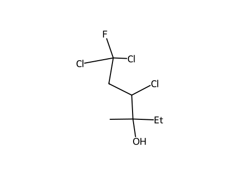 CCC(C)(O)C(Cl)CC(F)(Cl)Cl